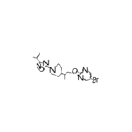 CC(C)c1noc(N2CCC(C(C)CCOc3ncc(Br)cn3)CC2)n1